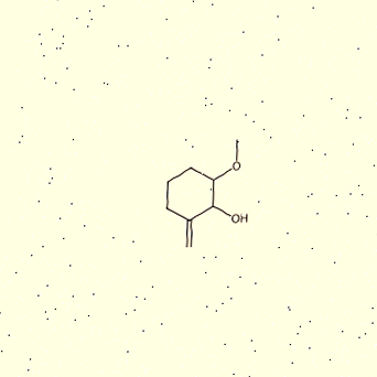 C=C1CCCC(OC)C1O